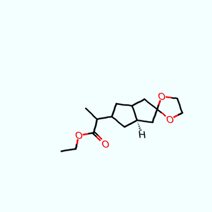 CCOC(=O)C(C)C1CC2CC3(C[C@H]2C1)OCCO3